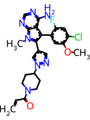 C=CC(=O)N1CCC(n2cc(-c3c(-c4cc(OC)c(Cl)cc4F)c4c(N)ncnc4n3C)cn2)CC1